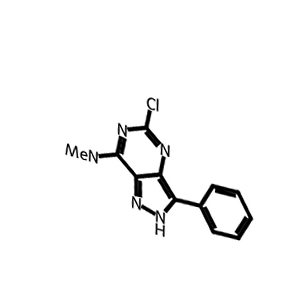 CNc1nc(Cl)nc2c(-c3ccccc3)[nH]nc12